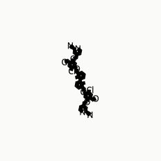 Cc1c(COc2cc(OCc3ccnc(C#N)c3)c(C=O)cc2Cl)cccc1-c1cccc(COc2cc(OCc3ccnc(C#N)c3)c(C=O)cc2Cl)c1C